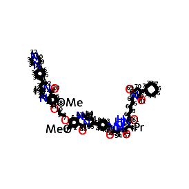 COc1cc2c(cc1OCCCOc1cc3c(cc1OC)C(=O)N1C=C(c4ccc(N5CCN(C)CC5)cc4)C[C@H]1C=N3)N=C[C@@H]1CC(c3ccc(NC(=O)[C@H](C)NC(=O)C(NC(=O)CCCCCN4C(=O)CC(C5=C/C=C\C=C/C=C\5)C4=O)C(C)C)cc3)=CN1C2=O